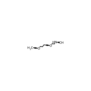 C#CNCCOC#CCCCOC#CC